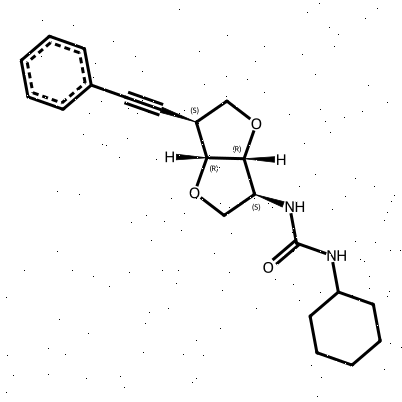 O=C(NC1CCCCC1)N[C@H]1CO[C@H]2[C@@H]1OC[C@@H]2C#Cc1ccccc1